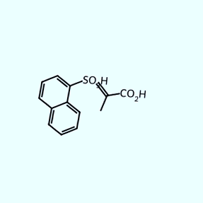 C=C(C)C(=O)O.O=S(=O)(O)c1cccc2ccccc12